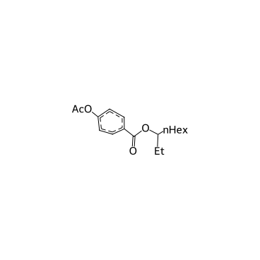 CCCCCCC(CC)OC(=O)c1ccc(OC(C)=O)cc1